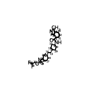 Cn1ncc2c(C(=O)N[C@H]3CC[C@H](CCN4CCc5sc(OCC(F)F)nc5C4)CC3)cccc21